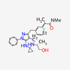 CC\C=C/C(=C\C(F)=C(/C)C(=O)NC)Cc1nn(-c2ccccc2)c(NC2(N[C@H](C)CO)CC2)c1C